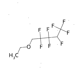 CCOCC(F)(F)C(F)(F)C(F)C(F)(F)F